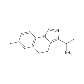 Cc1ccc2c(c1)CCc1c(C(C)N)ncn1-2